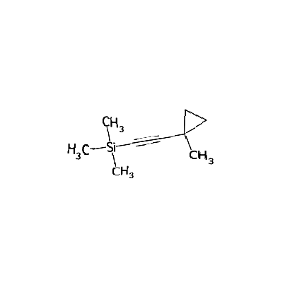 CC1(C#C[Si](C)(C)C)CC1